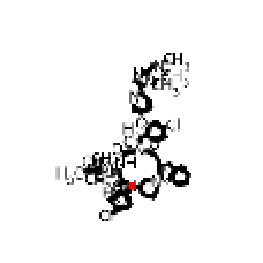 C[C@H]1C(=O)N[C@@H](CO[Si](C)(C)C(C)(C)C)C(=O)N(C)[C@@]2(Cc3ccc(Cl)cc3)CCCN(C2)C(=O)[C@H](Cc2ccccc2)CC(=O)N1Cc1ccc(Cl)cc1Oc1ccc(-c2cnc(CN(C)C)n2C)nc1